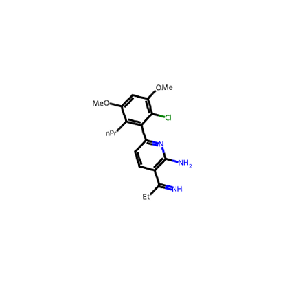 CCCc1c(OC)cc(OC)c(Cl)c1-c1ccc(C(=N)CC)c(N)n1